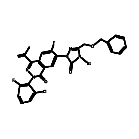 C=C(C)c1nn(-c2c(F)cccc2Cl)c(=O)c2cc(-n3nc(COCc4ccccc4)n(CC)c3=O)c(F)cc12